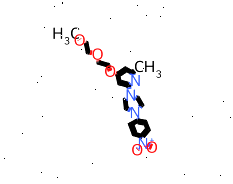 COCCOCCOc1cc(C)nc(N2CCN(c3ccc([N+](=O)[O-])cc3)CC2)c1